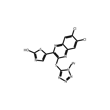 CC(C)n1nnnc1Sc1nc2cc(Cl)c(Cl)cc2nc1-c1cnc(O)s1